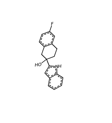 OC1(c2cc3ccccc3[nH]2)CCc2cc(F)ccc2C1